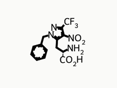 N[C@@H](Cc1c([N+](=O)[O-])c(C(F)(F)F)nn1Cc1ccccc1)C(=O)O